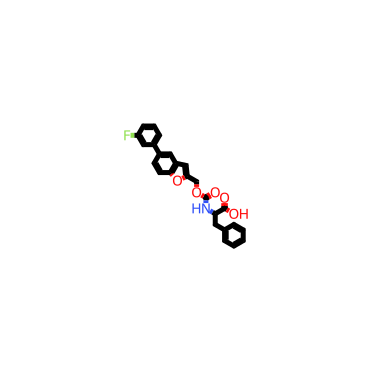 O=C(NC(Cc1ccccc1)C(=O)O)OCc1cc2cc(-c3cccc(F)c3)ccc2o1